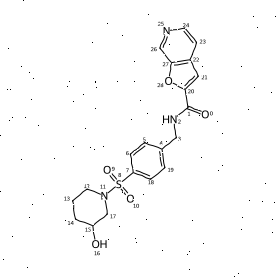 O=C(NCc1ccc(S(=O)(=O)N2CCCC(O)C2)cc1)c1cc2ccncc2o1